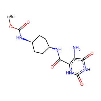 CCCCOC(=O)N[C@H]1CC[C@@H](NC(=O)c2[nH]c(=O)[nH]c(=O)c2N)CC1